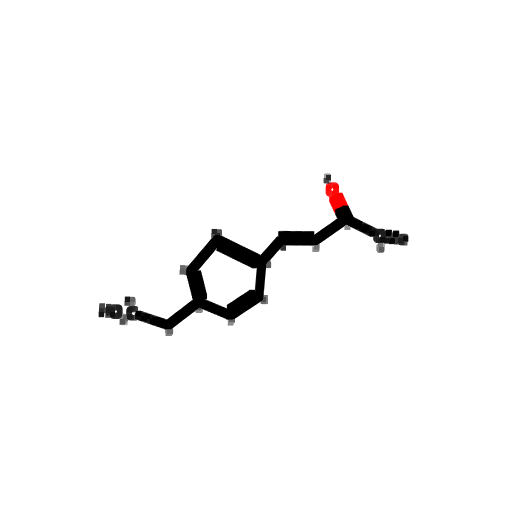 COC(=O)C=Cc1ccc(CC(=O)O)cc1